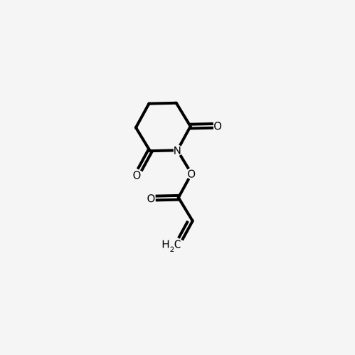 C=CC(=O)ON1C(=O)CCCC1=O